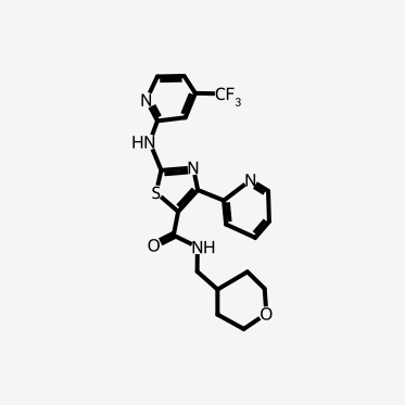 O=C(NCC1CCOCC1)c1sc(Nc2cc(C(F)(F)F)ccn2)nc1-c1ccccn1